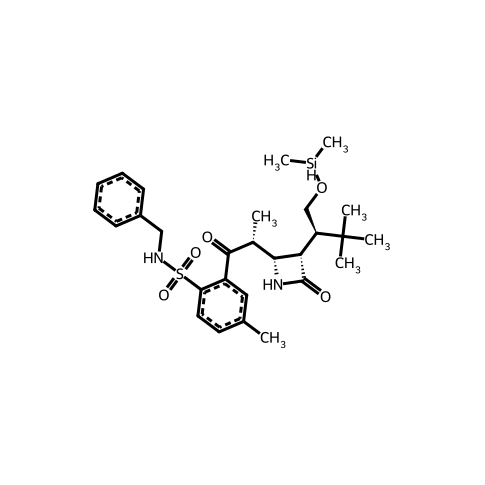 Cc1ccc(S(=O)(=O)NCc2ccccc2)c(C(=O)[C@H](C)[C@H]2NC(=O)[C@H]2[C@@H](CO[SiH](C)C)C(C)(C)C)c1